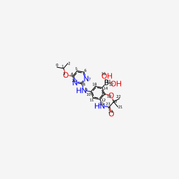 CC(C)Oc1ccnc(Nc2cc3c(c(B(O)O)c2)OC(C)(C)C(=O)N3)n1